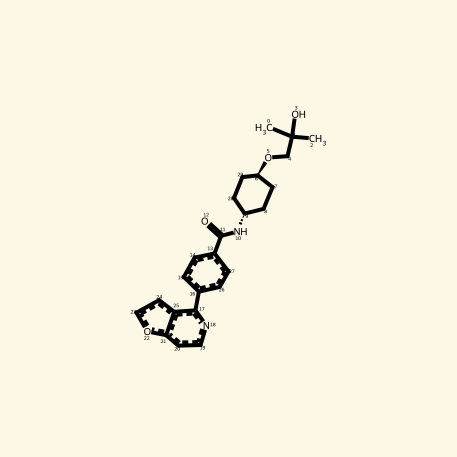 CC(C)(O)CO[C@H]1CC[C@H](NC(=O)c2ccc(-c3nccc4occc34)cc2)CC1